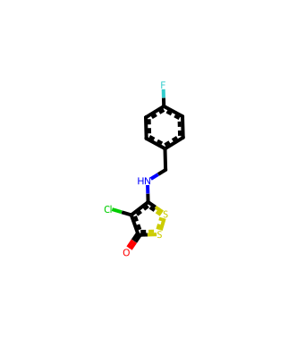 O=c1ssc(NCc2ccc(F)cc2)c1Cl